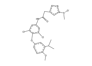 COc1ccc(Oc2c(Cl)cc(NC(=O)Cc3cnn([S+](C)[O-])c3)cc2Cl)cc1C(C)C